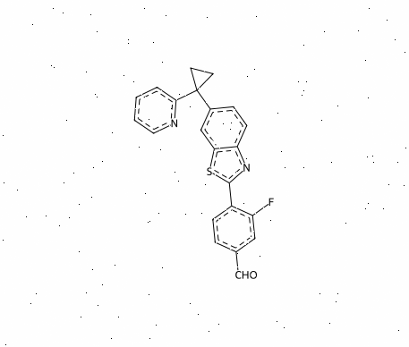 O=Cc1ccc(-c2nc3ccc(C4(c5ccccn5)CC4)cc3s2)c(F)c1